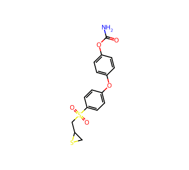 NC(=O)Oc1ccc(Oc2ccc(S(=O)(=O)CC3CS3)cc2)cc1